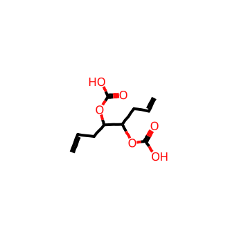 C=CCC(OC(=O)O)C(CC=C)OC(=O)O